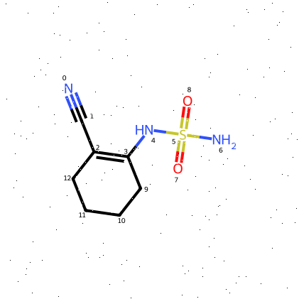 N#CC1=C(NS(N)(=O)=O)CCCC1